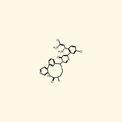 CC1CCCC(n2cnc(-c3cc(Cl)ccc3N(N)/C=C(\N)Cl)cc2=O)c2cccc(c2)-c2ccncc2NC1=O